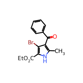 CCOC(=O)c1[nH]c(C)c(C(=O)c2ccccc2)c1Br